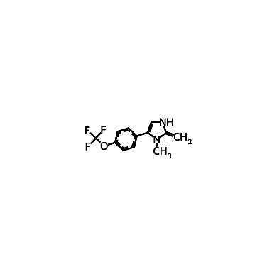 C=C1NC=C(c2ccc(OC(F)(F)F)cc2)N1C